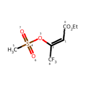 CCOC(=O)/C=C(\OS(C)(=O)=O)C(F)(F)F